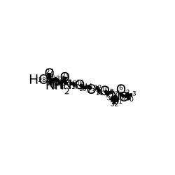 CC(C)(C)OC(=O)N(CCOCCOCCOCCNC(=O)CCC(N)C(=O)O)C(C)(C)C